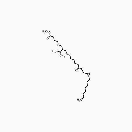 CCCCCCCCC1CC1COC(=O)CCCCCOCC(COCCCC(=O)OC)N(C)C